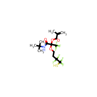 C=C(C)C(=O)OC(OCCC(F)(F)C(F)(F)S)(C(=O)NC(C)(C)C)C(F)(F)F